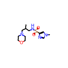 CC(CNS(=O)(=O)c1cn(C)cn1)CN1CCOCC1